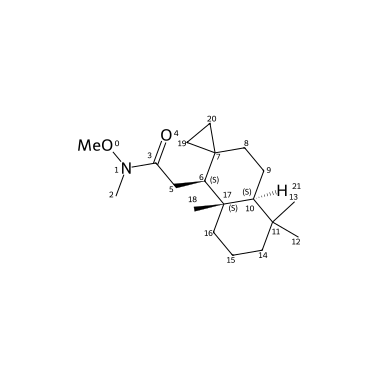 CON(C)C(=O)C[C@H]1C2(CC[C@H]3C(C)(C)CCC[C@@]31C)CC2